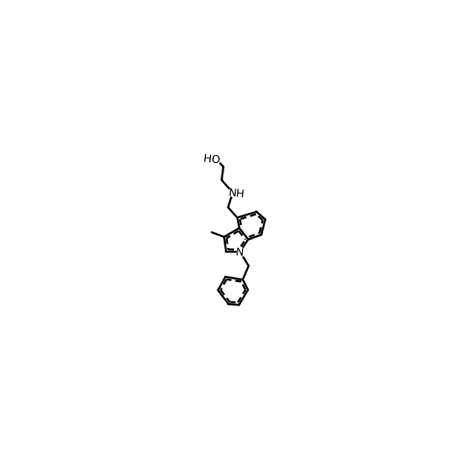 Cc1cn(Cc2ccccc2)c2cccc(CNCCO)c12